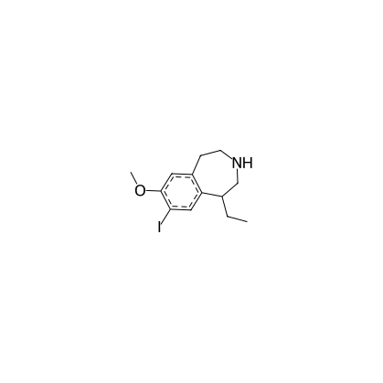 CCC1CNCCc2cc(OC)c(I)cc21